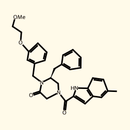 COCCOc1cccc(CN2C(=O)CN(C(=O)c3cc4cc(C)ccc4[nH]3)C[C@@H]2Cc2ccccc2)c1